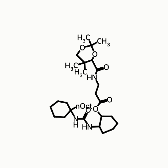 CCCCCCCCC1(NC(=O)NC2CCCCC2OC(=O)CCNC(=O)C2OC(C)(C)OCC2(C)C)CCCCC1